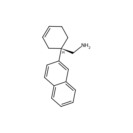 NC[C@@]1(c2ccc3ccccc3c2)CC=CCC1